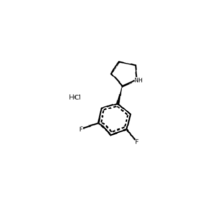 Cl.Fc1cc(F)cc([C@H]2CCCN2)c1